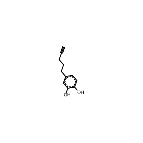 C#CCCCc1ccc(O)c(O)c1